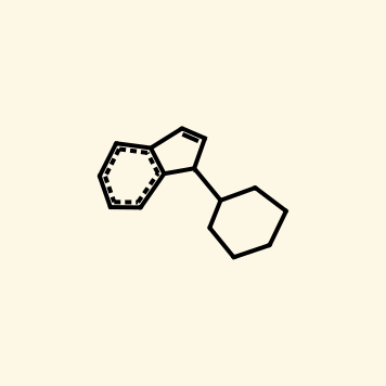 C1=Cc2ccccc2[C]1C1CCCCC1